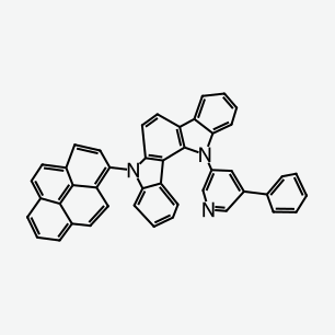 c1ccc(-c2cncc(-n3c4ccccc4c4ccc5c(c6ccccc6n5-c5ccc6ccc7cccc8ccc5c6c78)c43)c2)cc1